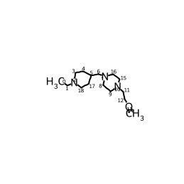 CCN1CCC(CN2CCN(CCOC)CC2)CC1